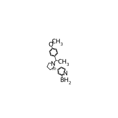 Bc1cc([C@@H]2CCCN2C(C)c2ccc(OC)cc2)ccn1